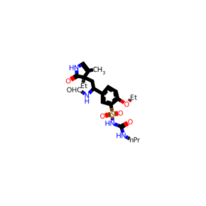 CCCNC(=O)NS(=O)(=O)c1cc(C(CC2(CC)C(=O)NC=C2C)NC=O)ccc1OCC